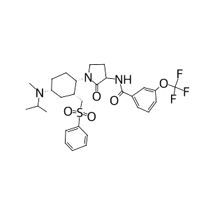 CC(C)N(C)[C@@H]1CC[C@H](N2CCC(NC(=O)c3cccc(OC(F)(F)F)c3)C2=O)[C@H](CS(=O)(=O)c2ccccc2)C1